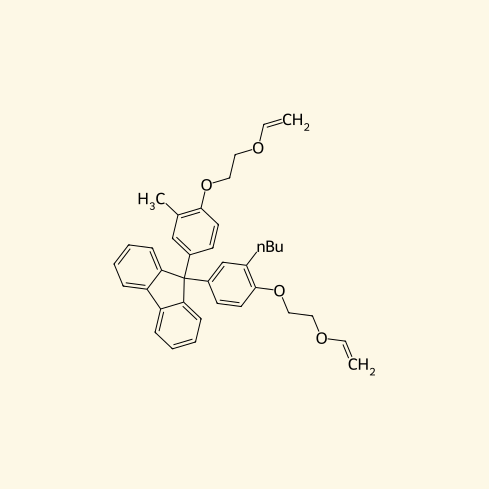 C=COCCOc1ccc(C2(c3ccc(OCCOC=C)c(CCCC)c3)c3ccccc3-c3ccccc32)cc1C